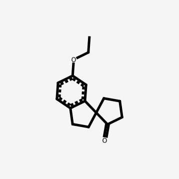 CCOc1ccc2c(c1)C1(CCCC1=O)CC2